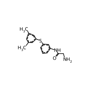 Cc1cc(C)cc(Sc2cccc(NC(=O)CN)c2)c1